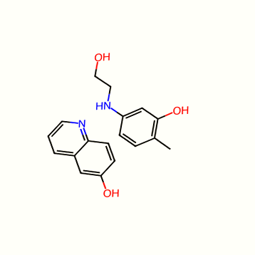 Cc1ccc(NCCO)cc1O.Oc1ccc2ncccc2c1